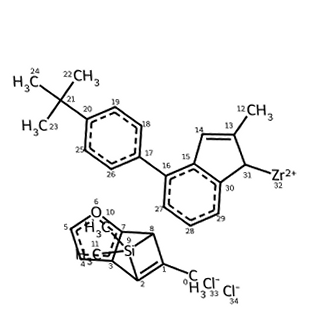 CC1=C2c3ccoc3C1[Si]2(C)C.CC1=Cc2c(-c3ccc(C(C)(C)C)cc3)cccc2[CH]1[Zr+2].[Cl-].[Cl-]